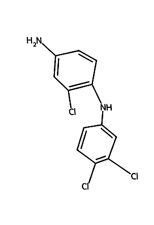 Nc1ccc(Nc2ccc(Cl)c(Cl)c2)c(Cl)c1